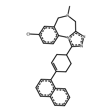 CN1Cc2cc(Cl)ccc2-n2c(nnc2C2CC=C(c3cccc4ccccc34)CC2)C1